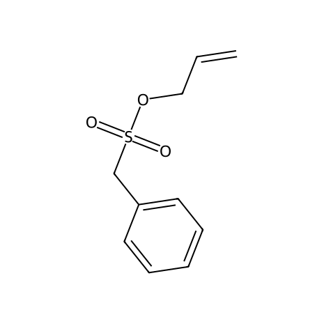 C=CCOS(=O)(=O)Cc1ccccc1